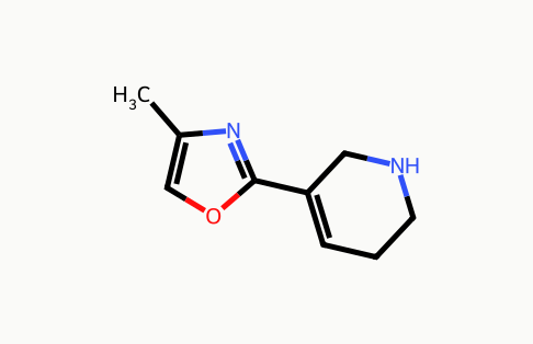 Cc1coc(C2=CCCNC2)n1